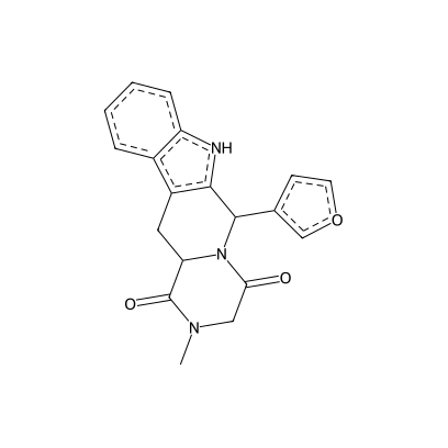 CN1CC(=O)N2C(Cc3c([nH]c4ccccc34)C2c2ccoc2)C1=O